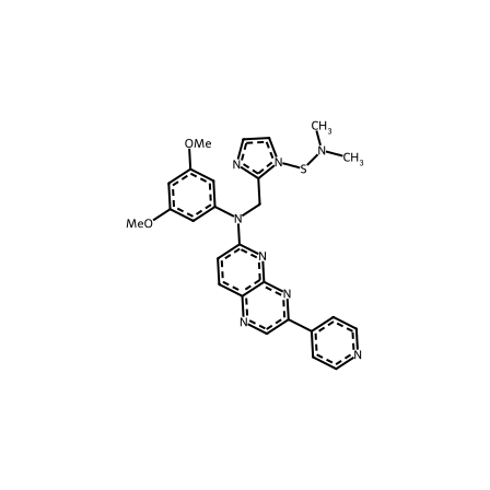 COc1cc(OC)cc(N(Cc2nccn2SN(C)C)c2ccc3ncc(-c4ccncc4)nc3n2)c1